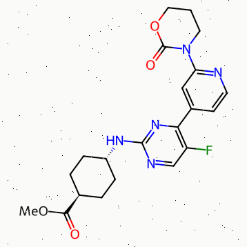 COC(=O)[C@H]1CC[C@H](Nc2ncc(F)c(-c3ccnc(N4CCCOC4=O)c3)n2)CC1